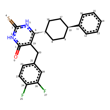 O=c1[nH]c(=S)[nH]c([C@H]2CC[C@H](c3ccccc3)CC2)c1Cc1ccc(F)c(F)c1